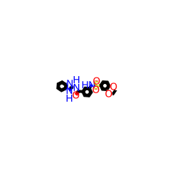 O=C(Nc1nc2ccccc2[nH]1)c1cccc(NS(=O)(=O)c2ccc3c(c2)OCCO3)c1